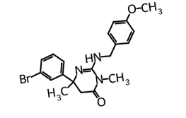 COc1ccc(CNC2=NC(C)(c3cccc(Br)c3)CC(=O)N2C)cc1